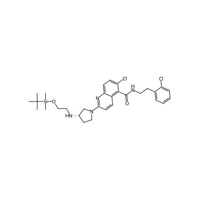 CC(C)(C)[Si](C)(C)OCCN[C@H]1CCN(c2ccc3c(C(=O)NCCc4ccccc4Cl)c(Cl)ccc3n2)C1